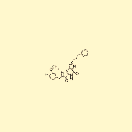 COc1cc(CNC(=O)c2nc3cn(CCCc4ccccc4)nc3c(=O)[nH]2)ccc1F